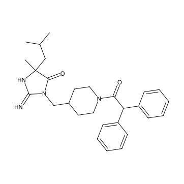 CC(C)CC1(C)NC(=N)N(CC2CCN(C(=O)C(c3ccccc3)c3ccccc3)CC2)C1=O